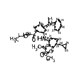 CCONC(=O)c1cnc(Nc2ccccn2)cc1Nc1ccc(C2CC2)cc1N(C)S(C)(=O)=O